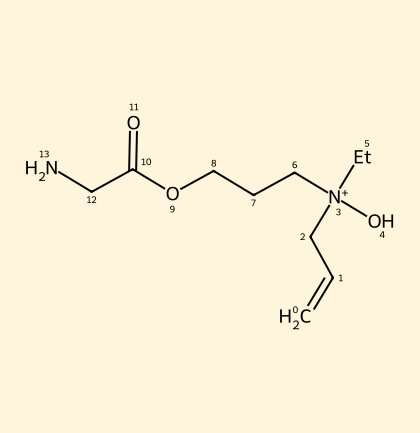 C=CC[N+](O)(CC)CCCOC(=O)CN